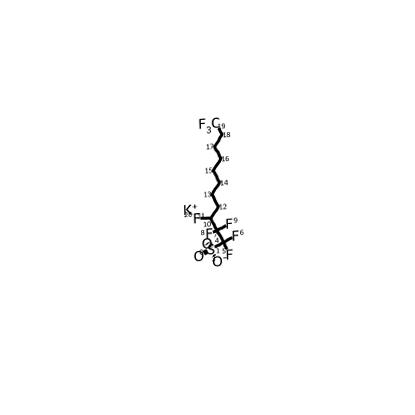 O=S(=O)([O-])C(F)(F)C(F)(F)C(F)CCCCCCCC(F)(F)F.[K+]